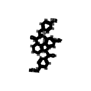 CCCCCCc1ccc(C(=O)n2c3c(c4c(Br)cc(Br)cc42)C(C(=O)OCc2ccc(CC)cc2)CCC3)cc1